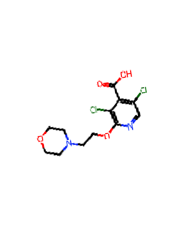 O=C(O)c1c(Cl)cnc(OCCN2CCOCC2)c1Cl